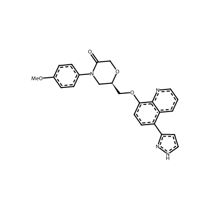 COc1ccc(N2C[C@H](COc3ccc(-c4cc[nH]n4)c4cccnc34)OCC2=O)cc1